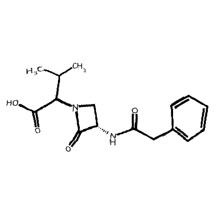 CC(C)C(C(=O)O)N1C[C@H](NC(=O)Cc2ccccc2)C1=O